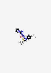 Cc1cn(-c2ccc(C(F)(F)F)cc2)c(=NC(=O)NCCN2CCCC2)s1